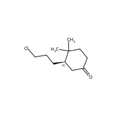 CC1(C)CCC(=O)C[C@H]1CCCCl